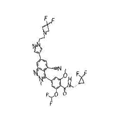 COc1cc(-c2c3c(C#N)cc(-c4cnn(CCN5CC(F)(F)C5)c4)cc3nn2C)cc(OC(F)F)c1C(=O)NC[C@H]1CC1(F)F